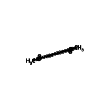 CCCCOC(=O)CCCCCCCCCCCCCCCCCCCCCCC(=O)OCCCC